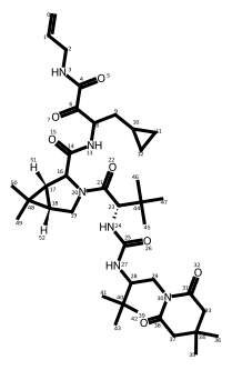 C=CCNC(=O)C(=O)C(CC1CC1)NC(=O)C1[C@@H]2[C@H](CN1C(=O)[C@@H](NC(=O)NC(CN1C(=O)CC(C)(C)CC1=O)C(C)(C)C)C(C)(C)C)C2(C)C